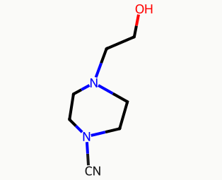 N#CN1CCN(CCO)CC1